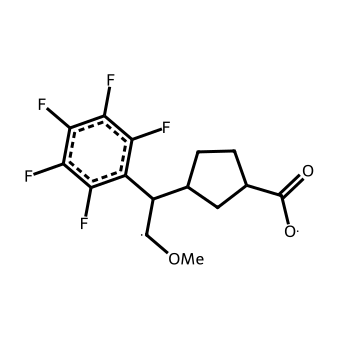 CO[CH]C(c1c(F)c(F)c(F)c(F)c1F)C1CCC(C([O])=O)C1